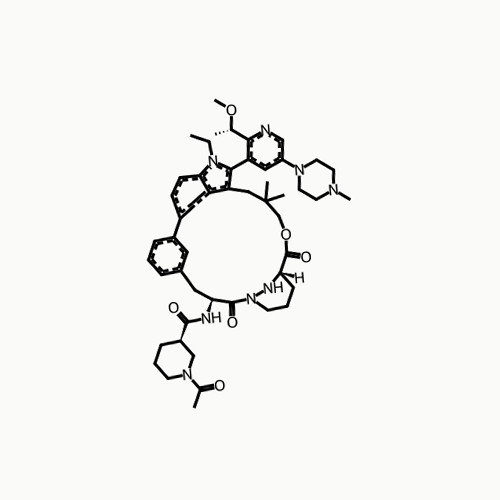 CCn1c(-c2cc(N3CCN(C)CC3)cnc2[C@H](C)OC)c2c3cc(ccc31)-c1cccc(c1)C[C@H](NC(=O)[C@@H]1CCCN(C(C)=O)C1)C(=O)N1CCC[C@H](N1)C(=O)OCC(C)(C)C2